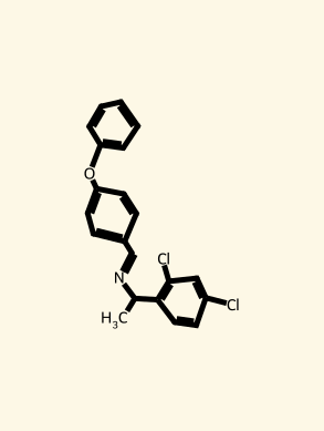 CC(/N=C/c1ccc(Oc2ccccc2)cc1)c1ccc(Cl)cc1Cl